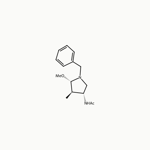 CO[C@H]1[C@H](C)[C@@H](NC(C)=O)CN1Cc1ccccc1